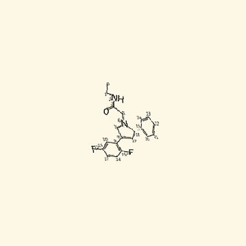 CCNC(=O)CN1CC(c2cc(F)ccc2F)=C[C@H]1c1ccccc1